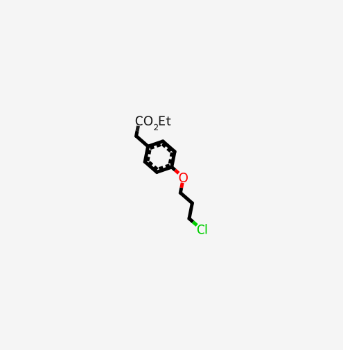 CCOC(=O)Cc1ccc(OCCCCl)cc1